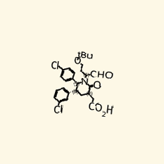 CC(C)(C)OCC[C@@H](C=O)N1C(=O)[C@@H](CC(=O)O)C[C@H](c2cccc(Cl)c2)[C@H]1c1ccc(Cl)cc1